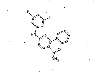 NC(=O)c1ccc(Nc2cc(F)cc(F)c2)cc1-c1ccccc1